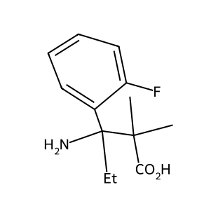 CCC(N)(c1ccccc1F)C(C)(C)C(=O)O